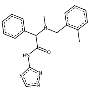 Cc1ccccc1CN(C)C(C(=O)Nc1nncs1)c1ccccc1